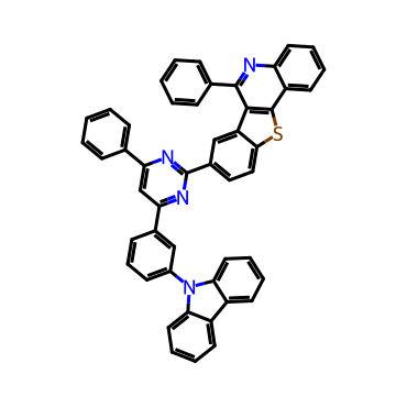 c1ccc(-c2cc(-c3cccc(-n4c5ccccc5c5ccccc54)c3)nc(-c3ccc4sc5c6ccccc6nc(-c6ccccc6)c5c4c3)n2)cc1